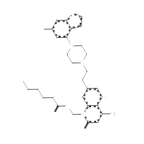 CCCCCC(=O)OCn1c(=O)cc(N)c2ccc(CCN3CCN(c4cc(F)cc5sccc45)CC3)cc21